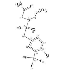 C=CCN(CC(N)=S)S(=O)(=O)Cc1ccc(Cl)c(C(F)(F)F)c1